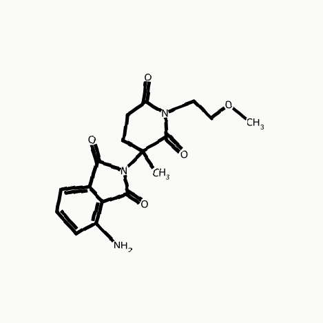 COCCN1C(=O)CCC(C)(N2C(=O)c3cccc(N)c3C2=O)C1=O